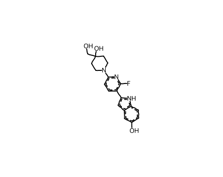 OCC1(O)CCN(c2ccc(-c3cc4cc(O)ccc4[nH]3)c(F)n2)CC1